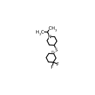 CC(C)N1CCC(S[C@H]2CCCC(F)(F)C2)CC1